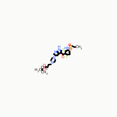 CCCS(=O)(=O)Nc1ccc(F)c(C(=O)c2c[nH]c3ncc(N4CCN(CCCC(=O)OC(C)(C)C)CC4)cc23)c1F